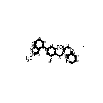 Cn1cc2c(-c3cc(F)c(Cn4c(=O)cnc5cccnc54)c(F)c3)cccc2n1